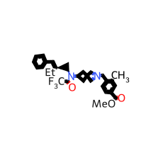 CC/C(=C\c1ccccc1)[C@@H]1C[C@H]1N(C(=O)C(F)(F)F)C1CC2(C1)CN(Cc1ccc(C(=O)OC)cc1C)C2